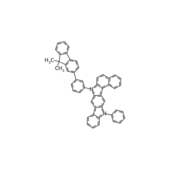 CC1(C)c2ccccc2-c2ccc(-c3cccc(-n4c5cc6c7ccccc7n(-c7ccccc7)c6cc5c5c6ccccc6ccc54)c3)cc21